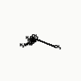 CCCCCCCCCCCCCCCCCC(=O)N[C@H](C(=O)N[C@@H](CCCCN)C(=O)O)C(C)C